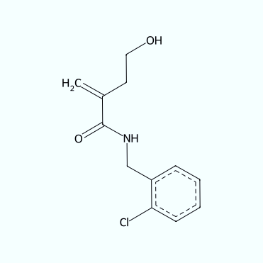 C=C(CCO)C(=O)NCc1ccccc1Cl